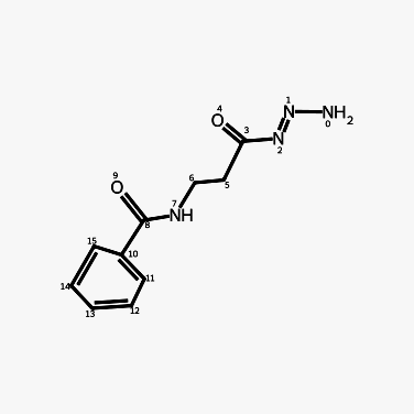 NN=NC(=O)CCNC(=O)c1ccccc1